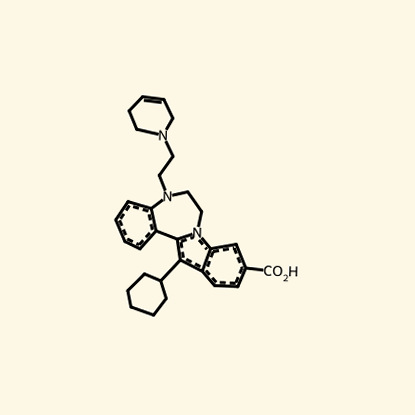 O=C(O)c1ccc2c(C3CCCCC3)c3n(c2c1)CCN(CCN1CC=CCC1)c1ccccc1-3